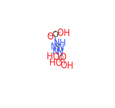 COc1ccc(O)cc1CNc1ncnc2c1ncn2[C@@H]1O[C@H](CO)[C@@H](O)[C@@H]1O